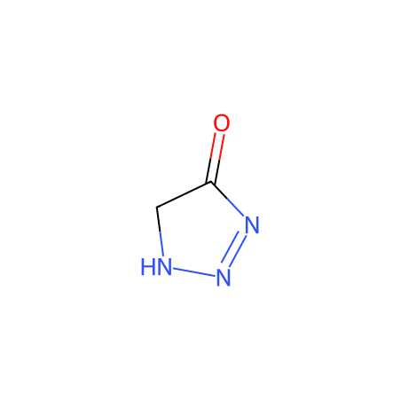 O=C1CNN=N1